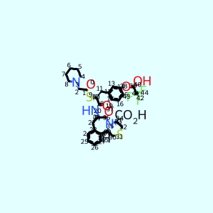 O=C(CN1CCCCC1)S[C@@H](Cc1ccccc1)C(=O)N[C@@H]1Cc2ccccc2[C@@H]2CSC[C@H](C(=O)O)N2C1=O.O=C(O)C(F)(F)F